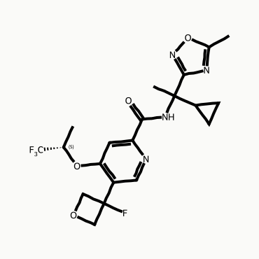 Cc1nc(C(C)(NC(=O)c2cc(O[C@@H](C)C(F)(F)F)c(C3(F)COC3)cn2)C2CC2)no1